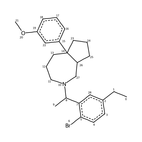 CCc1ccc(Br)c(C(C)N2CCCC3(c4cccc(OC)c4)CCCC3C2)c1